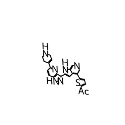 CC(=O)c1ccc(-c2cncc3[nH]c(-c4n[nH]c5ccc(C6=CCNCC6)nc45)cc23)s1